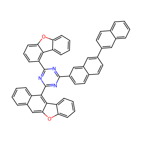 c1ccc2cc(-c3ccc4ccc(-c5nc(-c6cccc7oc8ccccc8c67)nc(-c6c7ccccc7cc7oc8ccccc8c67)n5)cc4c3)ccc2c1